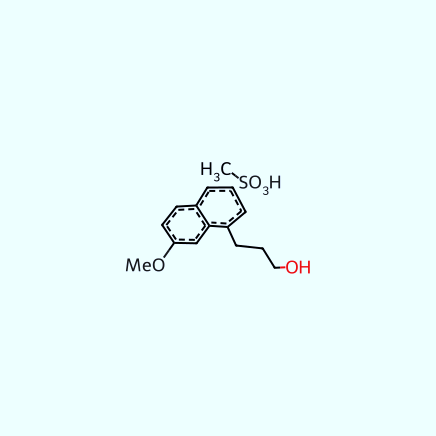 COc1ccc2cccc(CCCO)c2c1.CS(=O)(=O)O